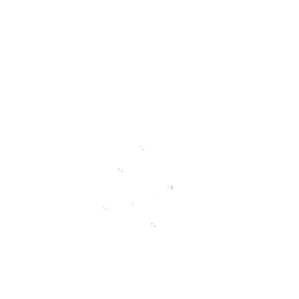 CC(C)C[C@H](Nc1nc(CN2CCN(C(c3ccc(Cl)cc3)c3ccc(Cl)cc3)CC2)nc2ccccc12)C(N)=O